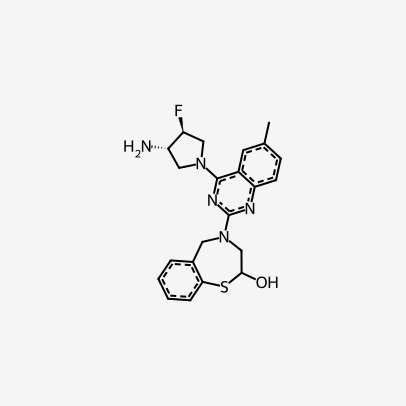 Cc1ccc2nc(N3Cc4ccccc4SC(O)C3)nc(N3C[C@H](N)[C@@H](F)C3)c2c1